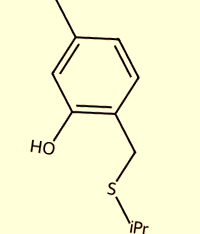 Cc1ccc(CSC(C)C)c(O)c1